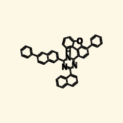 c1ccc(-c2ccc3cc(C4N=C(c5cccc6ccccc56)N=C(c5ccc(-c6ccccc6)c6oc7ccccc7c56)N4)ccc3c2)cc1